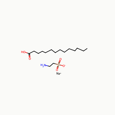 CCCCCCCCCCCCCC(=O)O.NCCS(=O)(=O)[O-].[Na+]